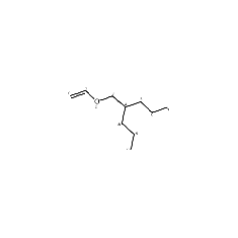 C=COCC(CCC)CCC